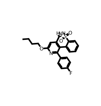 CCCCOc1cc(C#N)c(-c2ccccc2S(N)(=O)=O)c(-c2ccc(F)cc2)n1